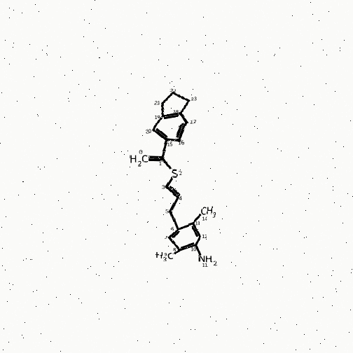 C=C(S/C=C/Cc1cc(C)c(N)cc1C)c1ccc2c(c1)CCC2